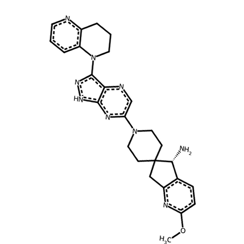 COc1ccc2c(n1)CC1(CCN(c3cnc4c(N5CCCc6ncccc65)n[nH]c4n3)CC1)[C@@H]2N